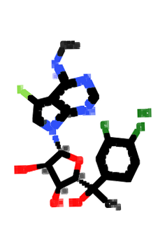 CO/N=c1\nc[nH]c2c1c(F)cn2[C@@H]1O[C@H](C(C)(O)c2ccc(Cl)c(Cl)c2)[C@@H](O)[C@H]1O.Cl